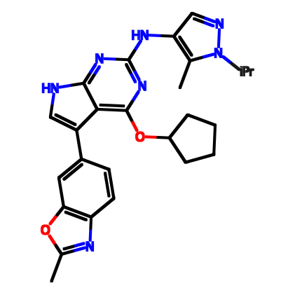 Cc1nc2ccc(-c3c[nH]c4nc(Nc5cnn(C(C)C)c5C)nc(OC5CCCC5)c34)cc2o1